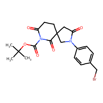 CC(C)(C)OC(=O)N1C(=O)CCC2(CC(=O)N(c3ccc(CBr)cc3)C2)C1=O